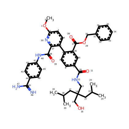 COc1ccc(-c2ccc(C(=O)NCC(CO)(CC(C)C)CC(C)C)cc2C(=O)OCc2ccccc2)c(C(=O)Nc2ccc(C(=N)N)cc2)n1